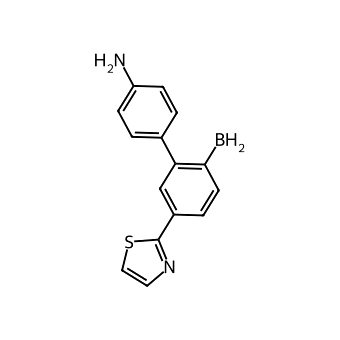 Bc1ccc(-c2nccs2)cc1-c1ccc(N)cc1